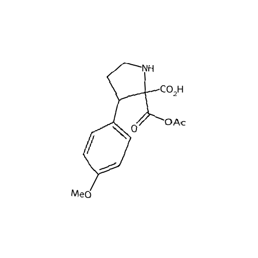 COc1ccc(C2CCNC2(C(=O)O)C(=O)OC(C)=O)cc1